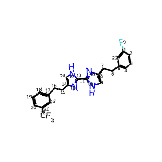 Fc1cccc(CCc2c[nH]c(-c3nc(CCc4cccc(C(F)(F)F)c4)c[nH]3)n2)c1